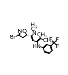 C=N/C(=C\C(Nc1cccc(C(F)(F)F)c1)=C(C)C)[C@@H]1CC(Br)=NO1